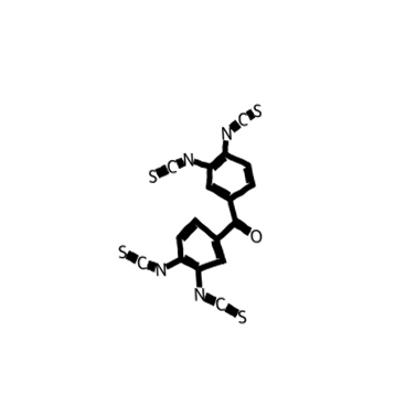 O=C(c1ccc(N=C=S)c(N=C=S)c1)c1ccc(N=C=S)c(N=C=S)c1